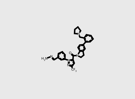 NN=Cc1cccc(-n2nc(C(F)(F)F)cc2C(=O)N2CCc3cc(-c4ccccc4CN4CCCC4)ccc32)c1